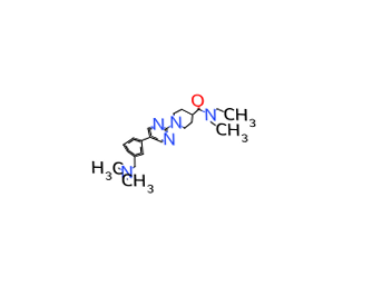 CCN(CC)C(=O)C1CCN(c2ncc(-c3cccc(CN(C)C)c3)cn2)CC1